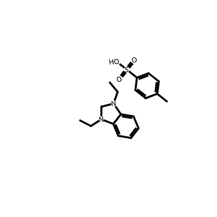 CCN1CN(CC)c2ccccc21.Cc1ccc(S(=O)(=O)O)cc1